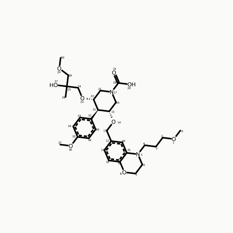 COCCCN1CCOc2ccc(CO[C@H]3CN(C(=O)O)C[C@@H](OCC(C)(O)COC)[C@@H]3c3ccc(OC)cc3)cc21